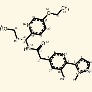 Cn1nccc1-c1ncc(CC(=O)N[C@H](CCO)c2ccc(OCC(F)(F)F)cn2)cc1F